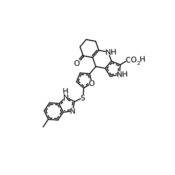 Cc1ccc2[nH]c(Sc3ccc(C4C5=C(CCCC5=O)Nc5c4c[nH]c5C(=O)O)o3)nc2c1